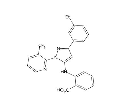 CCc1cccc(-c2cc(Nc3ccccc3C(=O)O)n(-c3ncccc3C(F)(F)F)n2)c1